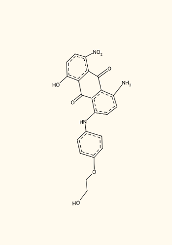 Nc1ccc(Nc2ccc(OCCO)cc2)c2c1C(=O)c1c([N+](=O)[O-])ccc(O)c1C2=O